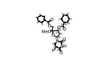 CO[C@]1(COC(=O)c2ccccc2)O[C@@H](n2cc(F)c(=O)[nH]c2=O)C[C@@H]1OC(=O)c1ccccc1